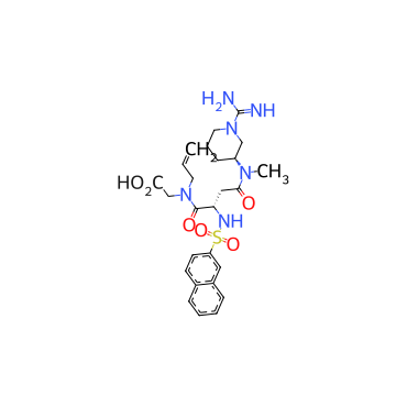 C=CCN(CC(=O)O)C(=O)[C@H](CC(=O)N(C)[C@H]1CCCN(C(=N)N)C1)NS(=O)(=O)c1ccc2ccccc2c1